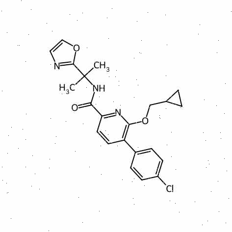 CC(C)(NC(=O)c1ccc(-c2ccc(Cl)cc2)c(OCC2CC2)n1)c1ncco1